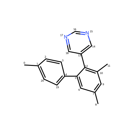 Cc1ccc(-c2cc(C)cc(C)c2-c2cncnc2)cc1